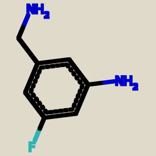 NCc1cc(N)cc(F)c1